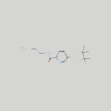 COCCNC(=O)c1ccc(B2OC(C)(C)C(C)(C)O2)cn1